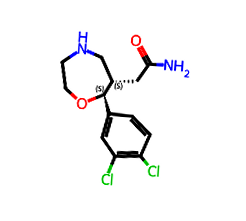 NC(=O)C[C@H]1CNCCO[C@@H]1c1ccc(Cl)c(Cl)c1